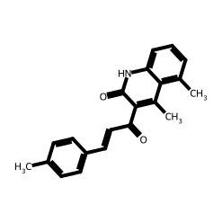 Cc1ccc(C=CC(=O)c2c(C)c3c(C)cccc3[nH]c2=O)cc1